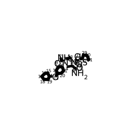 NC(=O)C1C[N+](C(N)=O)(c2ccc(Oc3ccccc3)cc2)CCN1S(=O)(=O)c1cccs1